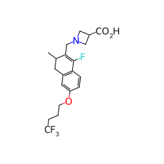 CC1Cc2cc(OCCCC(F)(F)F)ccc2C(F)=C1CN1CC(C(=O)O)C1